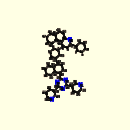 c1ccc(-c2cc(-c3cccc(-c4ccc(-c5nc(-c6cccnc6)nc(-c6cccnc6)n5)c5ccccc45)c3)c3c(ccc4ccccc43)n2)cc1